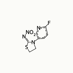 O=[N+]([O-])/N=C1/SCCN1c1ccc(F)nc1